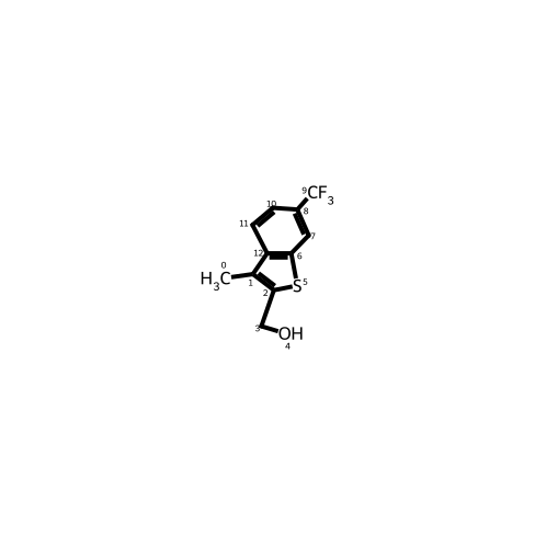 Cc1c(CO)sc2cc(C(F)(F)F)ccc12